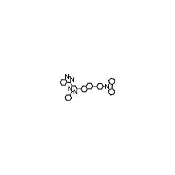 c1ccc(-c2nc(-c3ccc4cc(-c5ccc(-n6c7ccccc7c7ccccc76)cc5)ccc4c3)cc(-c3ncnc4ccccc34)n2)cc1